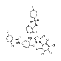 Cc1ccc(S(=O)(=O)N(C)c2ccccc2SC2C(=O)N(c3c(Cl)c(Cl)c(Cl)c(Cl)c3Cl)N=C2Nc2cc(NC(=O)c3cc(Cl)ccc3Cl)ccc2Cl)cc1